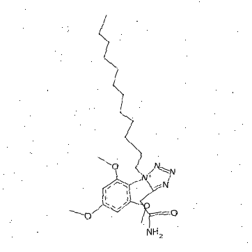 CCCCCCCCCCCC[N+]1(c2c(OC)cc(OC)cc2OC)N=NN=C1CC(N)=O